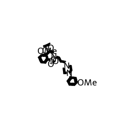 COc1cccc(N2CCN(CCCN3CC4(OCCO4)c4c(OC)cccc4S3(=O)=O)CC2)c1